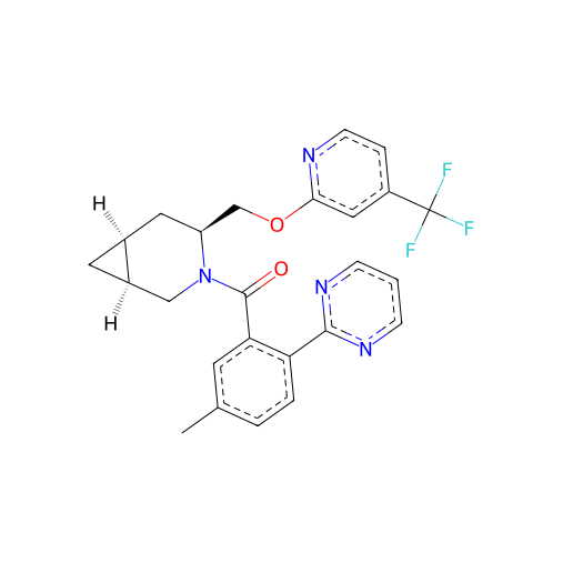 Cc1ccc(-c2ncccn2)c(C(=O)N2C[C@H]3C[C@H]3C[C@H]2COc2cc(C(F)(F)F)ccn2)c1